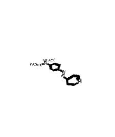 CCCCCCCCN(CCCCCCCC)c1ccc(N=Nc2ccncc2)cc1